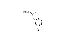 CC(=O)NC(C)Cc1cccc(Br)c1